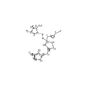 CCOCC1(CCc2cc(C)sc2C)CCN(Cc2cnn(C)c2)C1